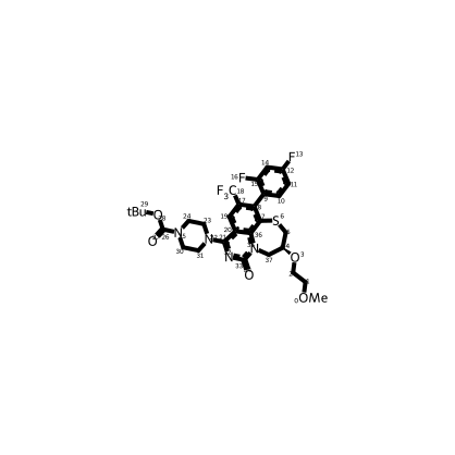 COCCO[C@@H]1CSc2c(-c3ccc(F)cc3F)c(C(F)(F)F)cc3c(N4CCN(C(=O)OC(C)(C)C)CC4)nc(=O)n(c23)C1